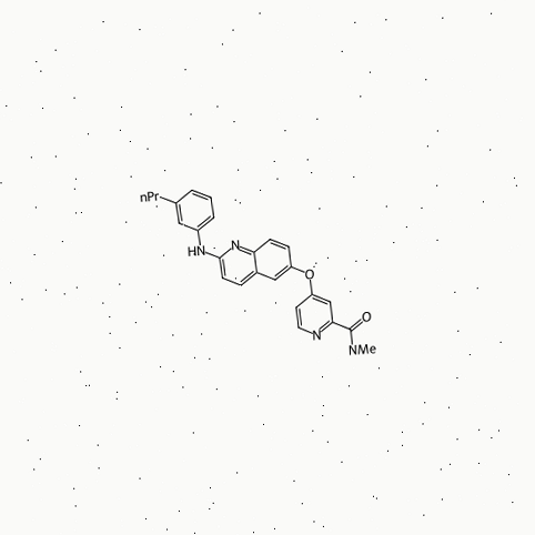 CCCc1cccc(Nc2ccc3cc(Oc4ccnc(C(=O)NC)c4)ccc3n2)c1